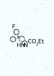 CCOC(=O)c1n[nH]c2c1C=C[C@](c1ccccc1)(c1ccc(F)cc1)C2